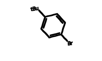 [CH2]C(C)(C)c1ccc(Br)cc1